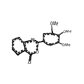 COc1cc(-c2nc3ccccc3c(=O)o2)cc(OC)c1OC